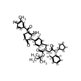 Cc1cc(C(=O)c2ccc(=O)n(-c3ccc(CN(C(=O)OC(C)(C)C)[C@@H](Cc4ccccc4)C(=O)OC4CCCC4)cc3)c2N)ccc1F